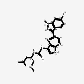 COC[C@H](CC(C)C)NC(=O)Oc1c[nH]c2ncc(-c3nn(C)c4cc(F)ccc34)nc12